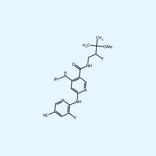 COC(C)(C)C(F)CNC(=O)c1cnc(Nc2ncc(C#N)cc2F)cc1NC(C)C